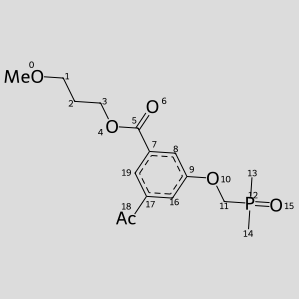 COCCCOC(=O)c1cc(OCP(C)(C)=O)cc(C(C)=O)c1